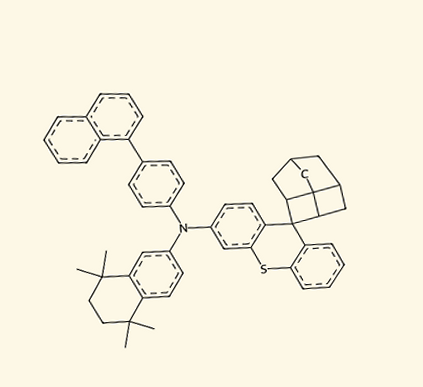 CC1(C)CCC(C)(C)c2cc(N(c3ccc(-c4cccc5ccccc45)cc3)c3ccc4c(c3)Sc3ccccc3C43C4CC5CC6CC3C64C5)ccc21